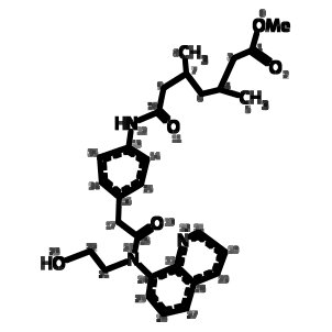 COC(=O)CC(C)CC(C)CC(=O)Nc1ccc(CC(=O)N(CCO)c2cccc3cccnc23)cc1